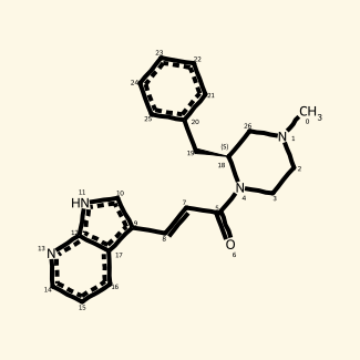 CN1CCN(C(=O)C=Cc2c[nH]c3ncccc23)[C@@H](Cc2ccccc2)C1